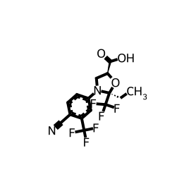 CC[C@@]1(C(F)(F)F)O[C@H](C(=O)O)CN1c1ccc(C#N)c(C(F)(F)F)c1